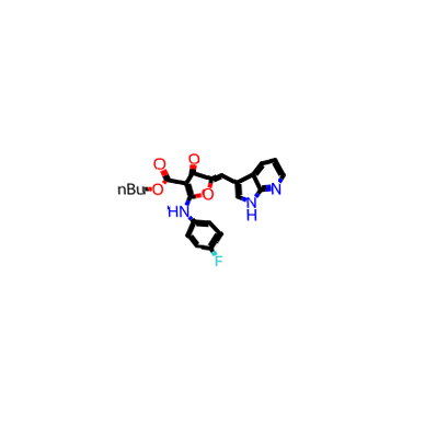 CCCCOC(=O)C1=C(Nc2ccc(F)cc2)OC(=Cc2c[nH]c3ncccc23)C1=O